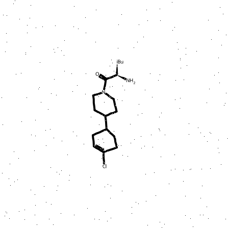 CC[C@H](C)[C@@H](N)C(=O)N1CCC(C2CC=C(Cl)CC2)CC1